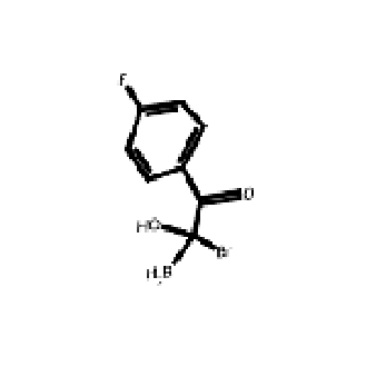 BC(O)(Br)C(=O)c1ccc(F)cc1